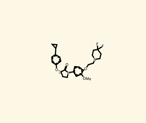 COc1cc(N2CC[C@H](Oc3ccc(C4CC4)cc3)C2=O)ccc1OCCN1CCC(F)(F)CC1